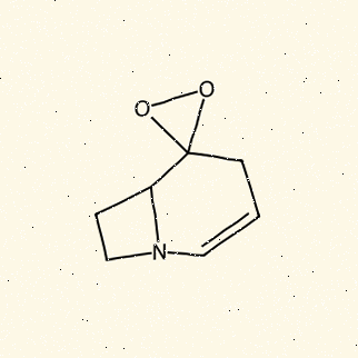 C1=CN2CCC2C2(C1)OO2